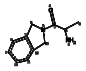 CC(N)C(=O)N1Cc2ccccc2C1